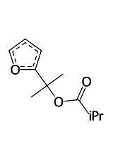 CC(C)C(=O)OC(C)(C)c1ccco1